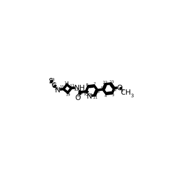 COc1ccc(-c2ccc(C(=O)NC3CC(N=C=S)C3)nc2)cc1